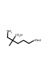 CCCCCCCCC(C)(CN)C(=O)O